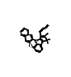 C=C/C=C\C1=C(C)C(C)(C)C2=C1B1c3cc4ccccc4cc3Oc3cccc2c31